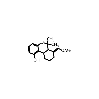 COC=C1CCCC2c3c(O)cccc3OC(C)(C)C12